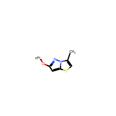 CCCOc1cc2scc(C)n2n1